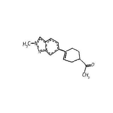 CC(=O)C1CC=C(c2ccc3cn(C)nc3c2)CC1